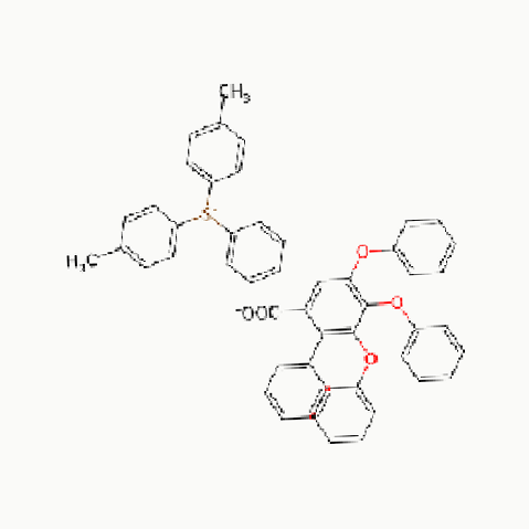 Cc1ccc([S+](c2ccccc2)c2ccc(C)cc2)cc1.O=C([O-])c1cc(Oc2ccccc2)c(Oc2ccccc2)c(Oc2ccccc2)c1-c1ccccc1